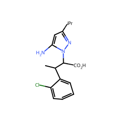 CC(C)c1cc(N)n(C(C(=O)O)C(C)c2ccccc2Cl)n1